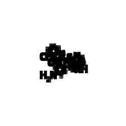 COc1ccc(N)cc1-n1c(CSc2ncnc3[nH]cnc23)nc2cccc(Cl)c2c1=O